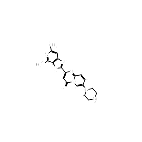 Cc1cc2nc(-c3cc(=O)n4cc(N5CCNCC5)ccc4n3)oc2c(C)n1